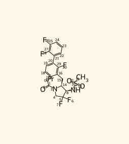 CC(C)C(=O)N1CC(F)(F)[C@H](NS(C)(=O)=O)[C@@H]1Cc1cccc(-c2cccc(F)c2F)c1F